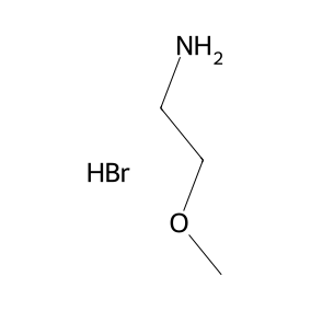 Br.COCCN